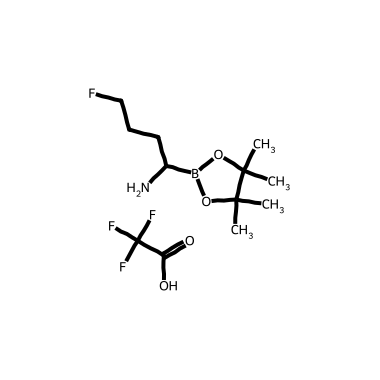 CC1(C)OB(C(N)CCCF)OC1(C)C.O=C(O)C(F)(F)F